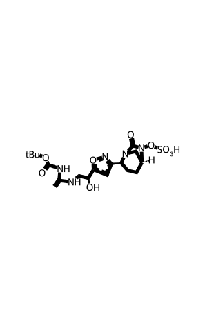 C=C(NC[C@H](O)c1cc([C@@H]2CC[C@H]3CN2C(=O)N3OS(=O)(=O)O)no1)NC(=O)OC(C)(C)C